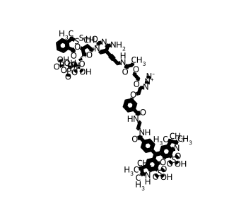 CSSC(C)c1ccccc1C(=O)OC1C[C@H](N2C=C(C#CCNC(=O)C(C)OCCOC(COc3cccc(C(=O)NCCNC(=O)c4ccc(C5=c6cc7c(c(S(=O)(=O)O)c6Oc6c5cc5c(c6S(=O)(=O)O)NC(C)C5(C)C)=NC(C)C7(C)C)cc4)c3)N=[N+]=[N-])C(N)=NC2O)O[C@@H]1COP(=O)(O)OP(=O)(O)OP(=O)(O)O